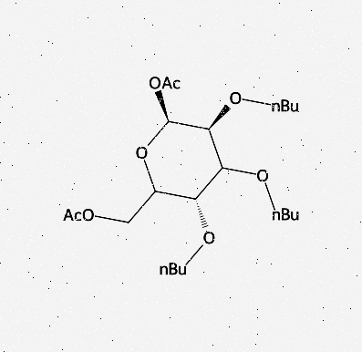 CCCCOC1[C@H](OCCCC)C(COC(C)=O)O[C@@H](OC(C)=O)[C@H]1OCCCC